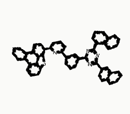 c1cc(-c2cccc(-c3ccc4c5ccccc5c5cccc6sc3c4c65)n2)cc(-c2nc(-c3ccc4ccccc4c3)nc(-c3cccc4ccccc34)n2)c1